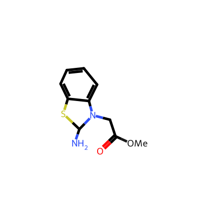 COC(=O)CN1c2ccccc2SC1N